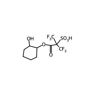 O=C(OC1CCCCC1O)C(C(F)(F)F)(C(F)(F)F)S(=O)(=O)O